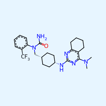 CN(C)c1nc(N[C@H]2CC[C@@H](CN(C(N)=O)c3ccccc3C(F)(F)F)CC2)nc2c1CCCC2